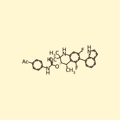 CC(=O)c1ccc(NC(=O)O[C@H]2[C@H](C)c3c(cc(F)c(-c4cccc5cc[nH]c45)c3F)NC2(C)C)cc1